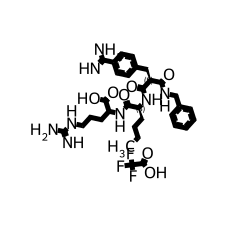 CCCC[C@H](NC(=O)[C@@H](Cc1ccc(C(=N)N)cc1)C(=O)NCc1ccccc1)C(=O)NC(CCCNC(=N)N)C(=O)O.O=C(O)C(F)(F)F